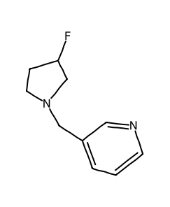 FC1CCN(Cc2cccnc2)C1